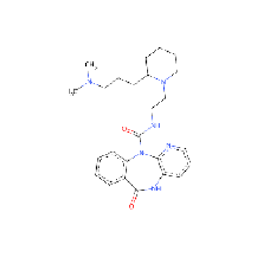 CN(C)CCCC1CCCCN1CCNC(=O)N1c2ccccc2C(=O)Nc2cccnc21